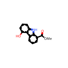 COC(=O)c1cccc2c1[nH]c1cccc(O)c12